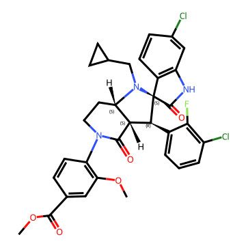 COC(=O)c1ccc(N2CC[C@H]3[C@@H](C2=O)[C@H](c2cccc(Cl)c2F)[C@]2(C(=O)Nc4cc(Cl)ccc42)N3CC2CC2)c(OC)c1